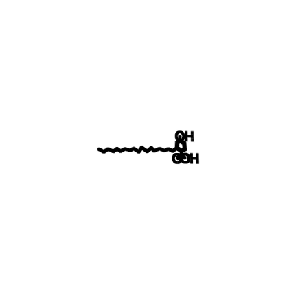 CCCCCCCCCCCCCCCCCCc1cc(O)ccc1C(=O)O